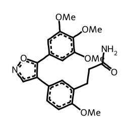 COc1ccc(-c2cnoc2-c2cc(OC)c(OC)c(OC)c2)cc1CCC(N)=O